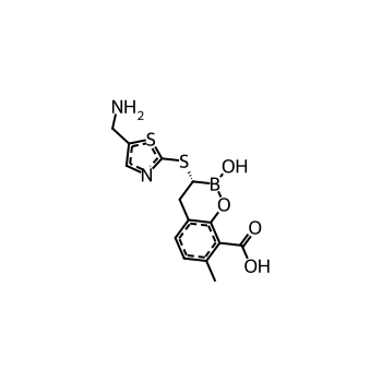 Cc1ccc2c(c1C(=O)O)OB(O)[C@@H](Sc1ncc(CN)s1)C2